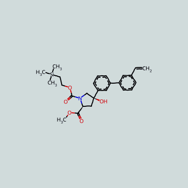 C=Cc1cccc(-c2cccc([C@]3(O)C[C@@H](C(=O)OC)N(C(=O)OCC[Si](C)(C)C)C3)c2)c1